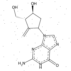 C=C1C(n2cnc3c(=O)[nH]c(N)nc32)C[C@H](O)[C@H]1CO